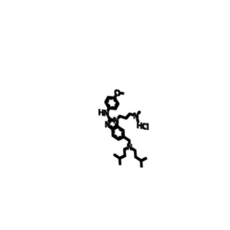 COc1ccc(Nc2nc3ccc(CN(CCC(C)C)CCC(C)C)cc3n2CCCN(C)C)cc1.Cl